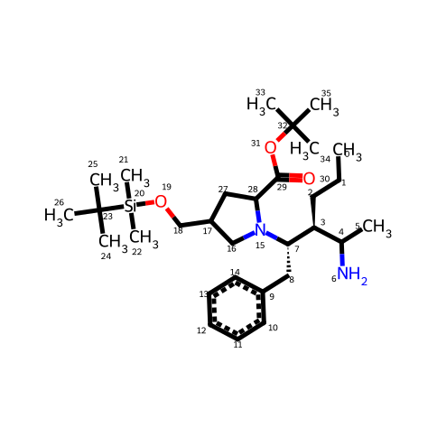 CCC[C@@H](C(C)N)[C@H](Cc1ccccc1)N1CC(CO[Si](C)(C)C(C)(C)C)CC1C(=O)OC(C)(C)C